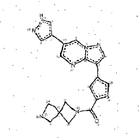 O=C(c1cc(-c2cnn3cc(-c4cn[nH]c4)cnc23)cs1)N1CC2(CNC2)C1